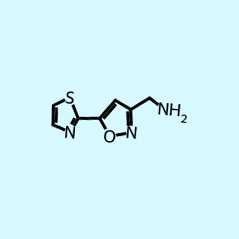 NCc1cc(-c2nccs2)on1